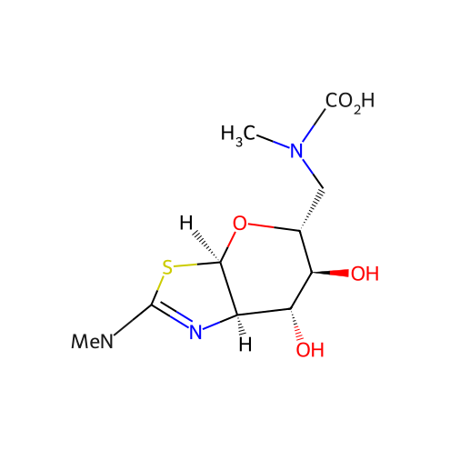 CNC1=N[C@@H]2[C@@H](O)[C@H](O)[C@@H](CN(C)C(=O)O)O[C@@H]2S1